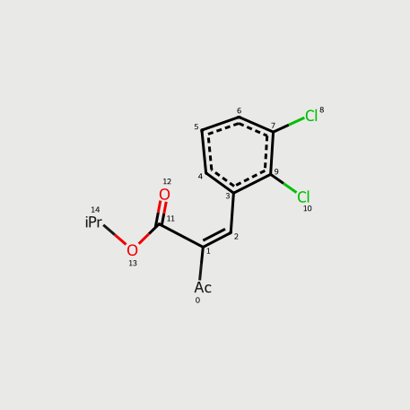 CC(=O)/C(=C/c1cccc(Cl)c1Cl)C(=O)OC(C)C